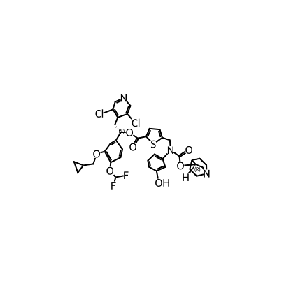 O=C(O[C@@H](Cc1c(Cl)cncc1Cl)c1ccc(OC(F)F)c(OCC2CC2)c1)c1ccc(CN(C(=O)O[C@H]2CN3CCC2CC3)c2cccc(O)c2)s1